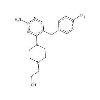 Nc1ncc(Cc2ccc(C(F)(F)F)cc2)c(N2CCN(CCO)CC2)n1